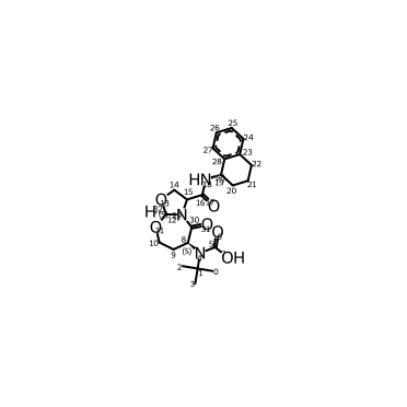 CC(C)(C)N(C(=O)O)[C@H]1CCO[C@H]2OCC(C(=O)N[C@@H]3CCCc4ccccc43)N2C1=O